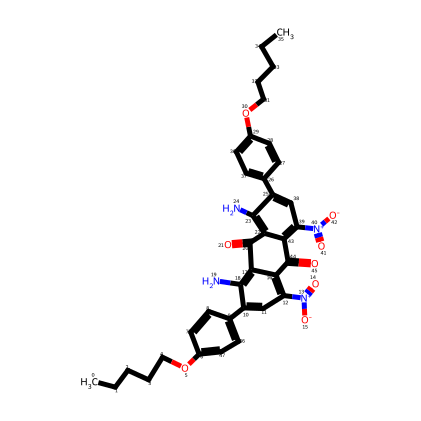 CCCCCOc1ccc(-c2cc([N+](=O)[O-])c3c(c2N)C(=O)c2c(N)c(-c4ccc(OCCCCC)cc4)cc([N+](=O)[O-])c2C3=O)cc1